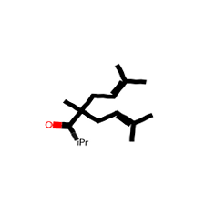 CC(C)=CCC(C)(CC=C(C)C)C(=O)C(C)C